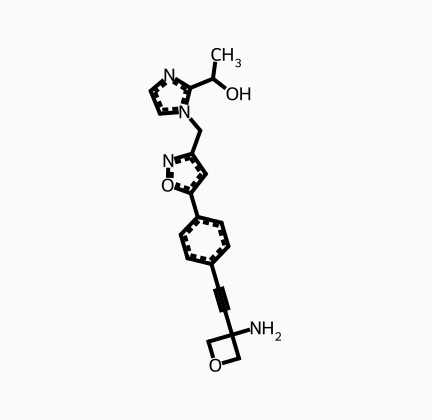 CC(O)c1nccn1Cc1cc(-c2ccc(C#CC3(N)COC3)cc2)on1